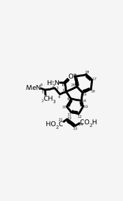 CNC(C)CCC1(C(N)=O)c2ccccc2-c2ccccc21.O=C(O)C=CC(=O)O